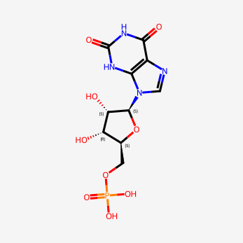 O=c1[nH]c(=O)c2ncn([C@H]3O[C@@H](COP(=O)(O)O)[C@H](O)[C@@H]3O)c2[nH]1